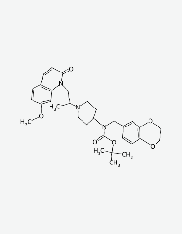 COc1ccc2ccc(=O)n(CC(C)N3CCC(N(Cc4ccc5c(c4)OCCO5)C(=O)OC(C)(C)C)CC3)c2c1